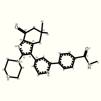 CNC(=O)c1ccc(-c2cc(-c3c(N4CCOCC4)sc4c3CC(C)(C)CC4=O)ccn2)cc1